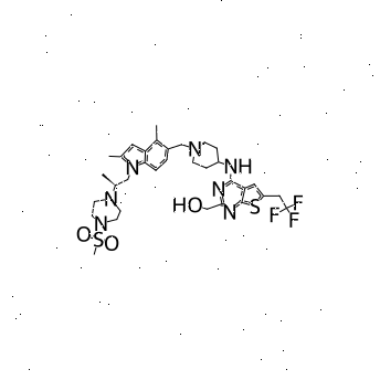 Cc1c(CN2CCC(Nc3nc(CO)nc4sc(CC(F)(F)F)cc34)CC2)ccc2c1cc(C)n2C[C@H](C)N1CCN(S(C)(=O)=O)CC1